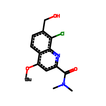 CN(C)C(=O)c1cc(OC(C)(C)C)c2ccc(CO)c(Cl)c2n1